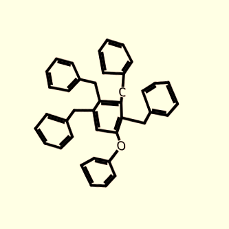 c1ccc(Cc2cc(Oc3ccccc3)c(Cc3ccccc3)c(Cc3ccccc3)c2Cc2ccccc2)cc1